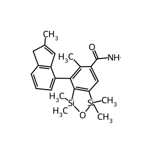 CC1=Cc2c(cccc2-c2c(C)c(C([NH])=O)cc3c2[Si](C)(C)O[Si]3(C)C)C1